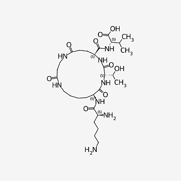 CC(C)[C@H](NC(=O)[C@@H]1CCC(=O)NCCC(=O)NCCCC[C@H](NC(=O)[C@@H](N)CCCCN)C(=O)N[C@@H](C(C)O)C(=O)N1)C(=O)O